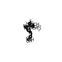 CC(C)N(C(=O)c1cc(F)ccc1Nc1cncnc1N1CCC2(CC1)CN(CC1CCC(NC(=O)O)CC1)C2)C(C)C